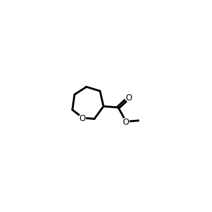 COC(=O)C1CCCCOC1